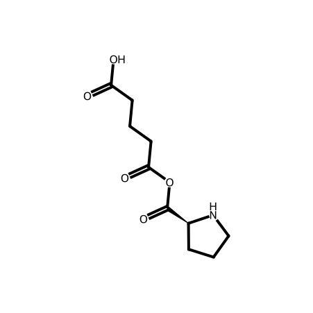 O=C(O)CCCC(=O)OC(=O)[C@@H]1CCCN1